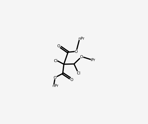 CCCOC(=O)C(Cl)(C(=O)OCCC)C(Cl)OC(C)C